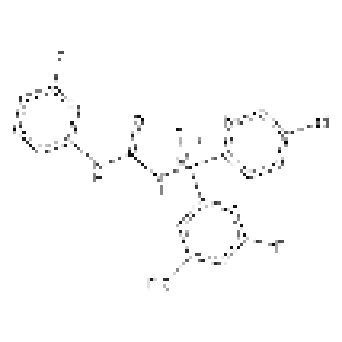 C[C@@](NC(=O)Nc1cccc(F)c1)(c1cc(F)cc(C(F)(F)F)c1)c1ccc(Cl)cn1